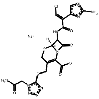 NC(=O)Cn1nnnc1SCC1=C(C(=O)[O-])N2C(=O)C(NC(=O)C(=CCl)c3csc(N)n3)[C@@H]2SC1.[Na+]